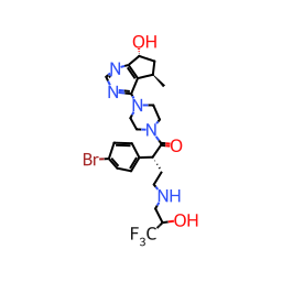 C[C@@H]1C[C@@H](O)c2ncnc(N3CCN(C(=O)[C@H](CCNCC(O)C(F)(F)F)c4ccc(Br)cc4)CC3)c21